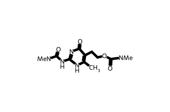 CNC(=O)Nc1nc(=O)c(CCOC(=O)NC)c(C)[nH]1